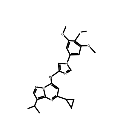 COc1cc(-n2cnc(Nc3cc(C4CC4)nc4c(C(C)C)cnn34)c2)cc(OC)c1OC